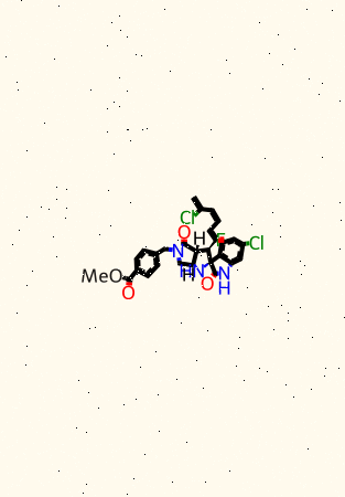 C=C(Cl)/C=C\C=C(/F)[C@@H]1[C@H]2C(=O)N(Cc3ccc(C(=O)OC)cc3)C[C@H]2N[C@@]12C(=O)Nc1cc(Cl)ccc12